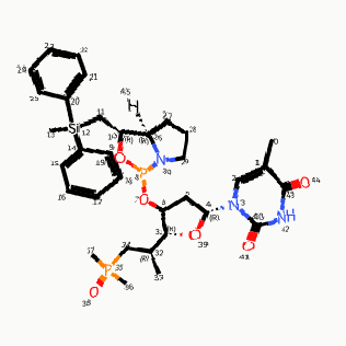 Cc1cn([C@H]2CC(OP3O[C@@H](C[Si](C)(c4ccccc4)c4ccccc4)[C@H]4CCCN43)[C@@H]([C@@H](C)CP(C)(C)=O)O2)c(=O)[nH]c1=O